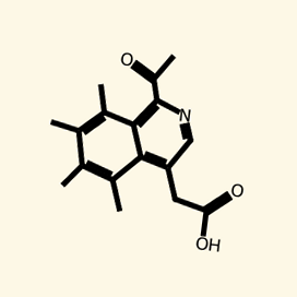 CC(=O)c1ncc(CC(=O)O)c2c(C)c(C)c(C)c(C)c12